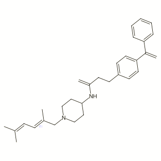 C=C(CCc1ccc(C(=C)c2ccccc2)cc1)NC1CCN(C/C(C)=C/C=C(C)C)CC1